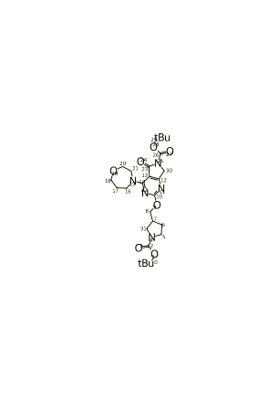 CC(C)(C)OC(=O)N1CCC(COc2nc3c(c(N4CCCOCC4)n2)C(=O)N(C(=O)OC(C)(C)C)C3)C1